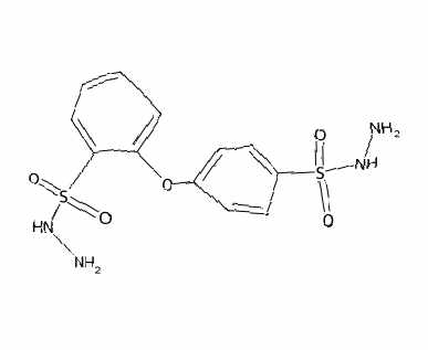 NNS(=O)(=O)c1ccc(Oc2ccccc2S(=O)(=O)NN)cc1